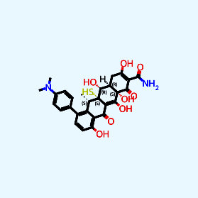 C[C@H]1c2c(-c3ccc(N(C)C)cc3)ccc(O)c2C(=O)C2=C(O)[C@]3(O)C(=O)C(C(N)=O)=C(O)C[C@@H]3[C@@H](O)[C@@]21S